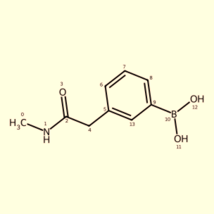 CNC(=O)Cc1cccc(B(O)O)c1